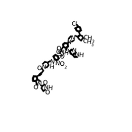 CC1(C)CCC(CN2CCN(c3ccc(C(=O)NS(=O)(=O)c4ccc(NCC5CCN(C(=O)CC#Cc6cccc7c6CN(C6CCC(=O)NC6=O)C7=O)CC5)c([N+](=O)[O-])c4)c(Oc4cnc5[nH]ccc5c4)c3)CC2)=C(c2ccc(Cl)cc2)C1